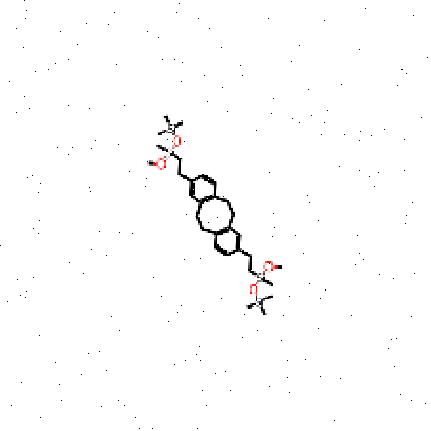 CO[Si](C)(CCc1ccc2c(c1)CCc1ccc(CC[Si](C)(OC)O[Si](C)(C)C)cc1CC2)O[Si](C)(C)C